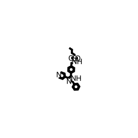 CCCCS(=O)(=O)NCc1ccc(-c2[nH]c(-c3ccccc3)nc2-c2ccncc2)cc1